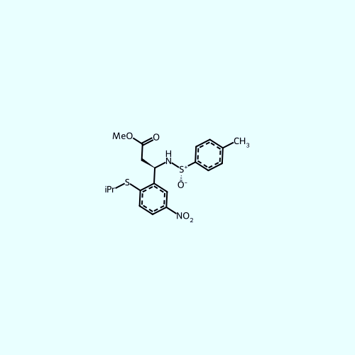 COC(=O)C[C@@H](N[S@@+]([O-])c1ccc(C)cc1)c1cc([N+](=O)[O-])ccc1SC(C)C